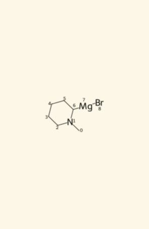 CN1CCCC[CH]1[Mg][Br]